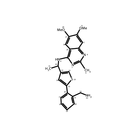 COc1cc2nc(C)nc(NC(C)c3csc(-c4ccccc4CN)c3)c2cc1OC